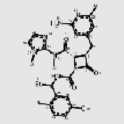 CC[C@@H](NC(=O)N1C(=O)[C@H](Cc2cc(C)nc(N)c2)[C@H]1C(=O)N(C)c1nccn1C)c1cc(Cl)ccc1C